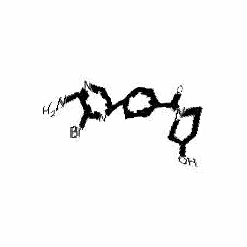 Nc1ncc(-c2ccc(C(=O)N3CCC(O)C3)cc2)nc1Br